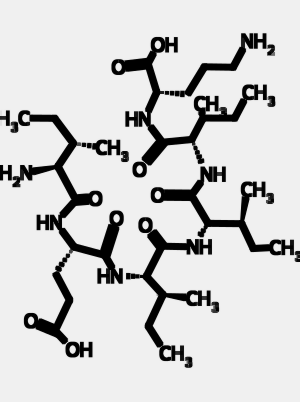 CC[C@H](C)[C@H](N)C(=O)N[C@@H](CCC(=O)O)C(=O)N[C@H](C(=O)N[C@H](C(=O)N[C@H](C(=O)N[C@@H](CCCN)C(=O)O)[C@@H](C)CC)[C@@H](C)CC)[C@@H](C)CC